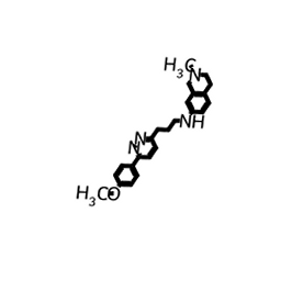 COc1ccc(-c2ccc(CCCNc3ccc4c(c3)CN(C)CC4)nn2)cc1